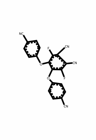 N#Cc1ccc(Oc2c(F)c(C#N)c(C#N)c(F)c2Oc2ccc(C#N)cc2)cc1